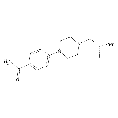 C=C(CCC)CN1CCN(c2ccc(C(N)=O)cc2)CC1